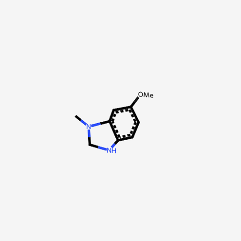 COc1ccc2c(c1)N(C)CN2